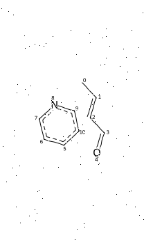 CC=CC=O.c1ccncc1